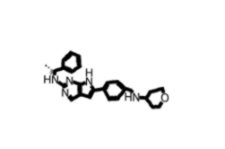 C[C@@H](Nc1ncc2cc(-c3ccc(CNC4CCOCC4)cc3)[nH]c2n1)c1ccccc1